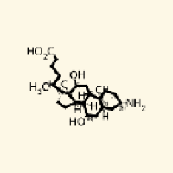 C[C@H](CCCC(=O)O)[C@H]1CC[C@H]2[C@@H]3[C@H](O)C[C@@H]4C[C@@H](N)CC[C@]4(C)[C@H]3C[C@H](O)[C@]12C